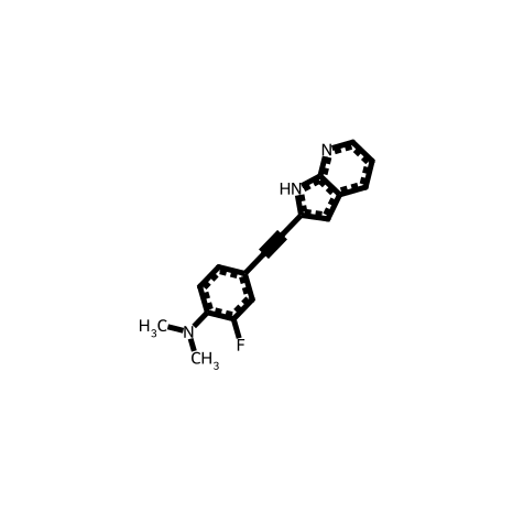 CN(C)c1ccc(C#Cc2cc3cccnc3[nH]2)cc1F